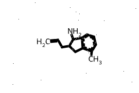 C=CCC1Cc2c(C)cccc2C1N